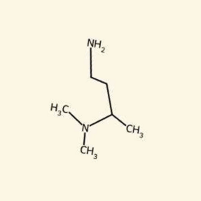 CC(CCN)N(C)C